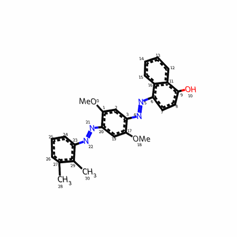 COc1cc(N=Nc2ccc(O)c3ccccc23)c(OC)cc1N=Nc1cccc(C)c1C